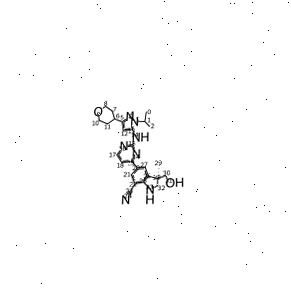 CC(C)n1nc(C2CCOCC2)cc1Nc1nccc(-c2cc(C#N)c3c(c2)[C@@](C)(CO)CN3)n1